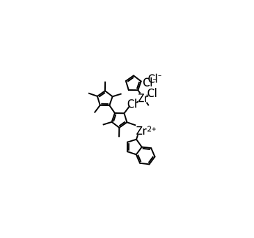 CC1=C(C)C(C)C(C2=C(C)C(C)=C(C)C2C)=C1C.[CH3][Zr]([Cl])([Cl])[C]1=CC=CC1.[Cl-].[Cl-].[Zr+2][CH]1C=Cc2ccccc21